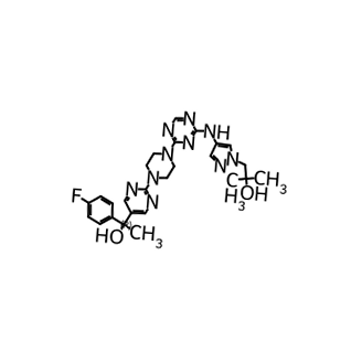 CC(C)(O)Cn1cc(Nc2ncnc(N3CCN(c4ncc([C@](C)(O)c5ccc(F)cc5)cn4)CC3)n2)cn1